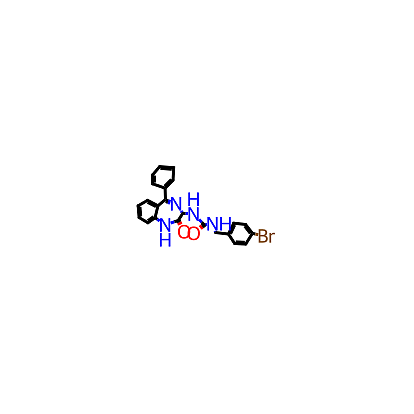 O=C(NCc1ccc(Br)cc1)NC1N=C(c2ccccc2)c2ccccc2NC1=O